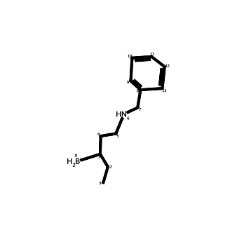 BC(CC)CCNCc1ccccc1